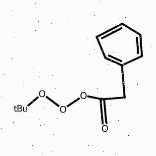 CC(C)(C)OOOC(=O)Cc1ccccc1